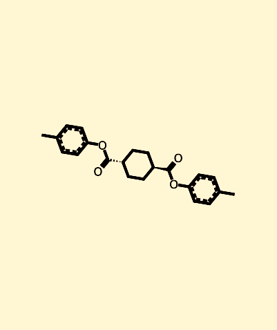 Cc1ccc(OC(=O)[C@H]2CC[C@H](C(=O)Oc3ccc(C)cc3)CC2)cc1